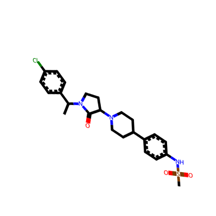 CC(c1ccc(Cl)cc1)N1CCC(N2CCC(c3ccc(NS(C)(=O)=O)cc3)CC2)C1=O